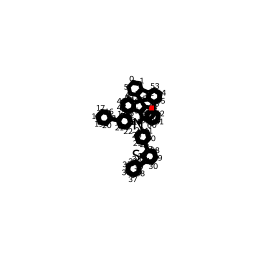 C1=CC2=C(CC1)C1(C3=C(C(N(c4ccc(-c5ccccc5)cc4)c4ccc(-c5cccc6c5sc5ccccc56)cc4)=CCC3)c3ccccc31)c1c2cccc1-c1ccccc1